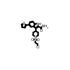 NC(=O)c1[nH]c2ccc(-c3cccs3)cc2c1C1CCN(S(=O)(=O)CCCl)CC1